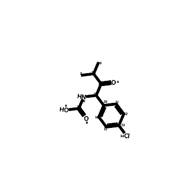 CC(C)C(=O)C(NC(=O)O)c1ccc(Cl)cc1